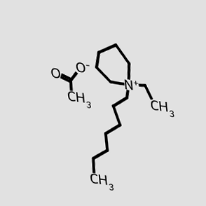 CC(=O)[O-].CCCCCCC[N+]1(CC)CCCCC1